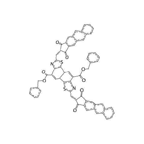 O=C(OCc1ccccc1)C1=CC2c3sc(C=C4C(=O)c5cc6cc7ccccc7cc6cc5C4=O)nc3C(C(=O)OCc3ccccc3)=CC2c2sc(C=C3C(=O)c4cc5cc6ccccc6cc5cc4C3=O)nc21